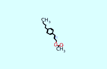 CCCCc1ccc(/C=C/COC(C)=O)cc1